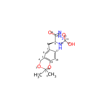 CC1(C)OCc2cc(C[C@H](NC(=O)O)C(N)=O)ccc2O1